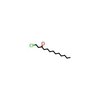 CCCCCCCCCCC(=O)CCCl